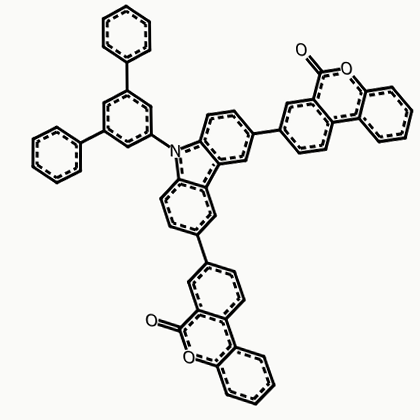 O=c1oc2ccccc2c2ccc(-c3ccc4c(c3)c3cc(-c5ccc6c(c5)c(=O)oc5ccccc56)ccc3n4-c3cc(-c4ccccc4)cc(-c4ccccc4)c3)cc12